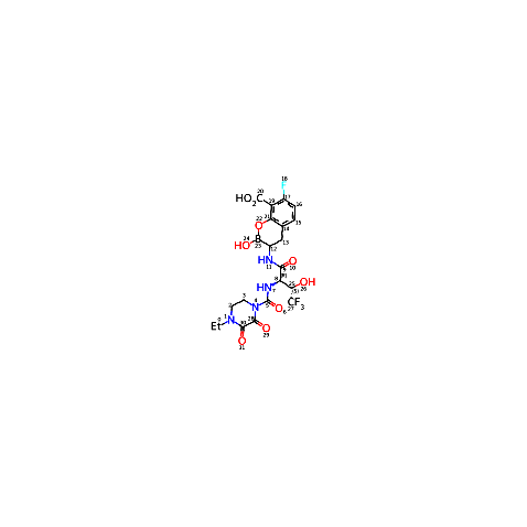 CCN1CCN(C(=O)N[C@@H](C(=O)NC2Cc3ccc(F)c(C(=O)O)c3OB2O)[C@H](O)C(F)(F)F)C(=O)C1=O